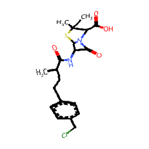 CC(CCc1ccc(CCl)cc1)C(=O)NC1C(=O)N2C1SC(C)(C)C2C(=O)O